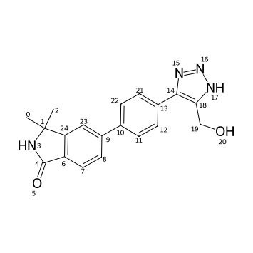 CC1(C)NC(=O)c2ccc(-c3ccc(-c4nn[nH]c4CO)cc3)cc21